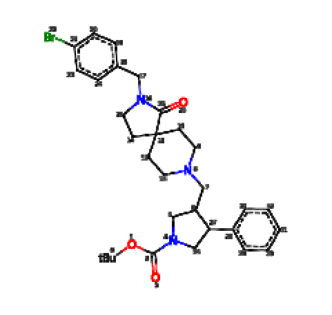 CC(C)(C)OC(=O)N1CC(CN2CCC3(CC2)CCN(Cc2ccc(Br)cc2)C3=O)C(c2ccccc2)C1